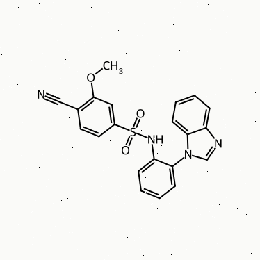 COc1cc(S(=O)(=O)Nc2ccccc2-n2cnc3ccccc32)ccc1C#N